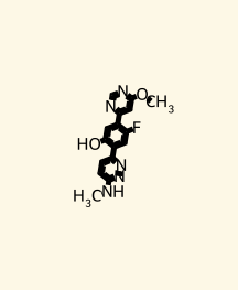 CNc1ccc(-c2cc(F)c(-c3cc(OC)ncn3)cc2O)nn1